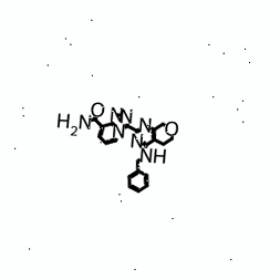 NC(=O)c1cccn2c(-c3nc4c(c(NCc5ccccc5)n3)CCOC4)nnc12